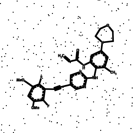 C=CC(=O)Nc1cc(N2CCOCC2)cc(C)c1Nc1ncc(C#Cc2c(F)c(OC)cc(OC)c2F)cn1